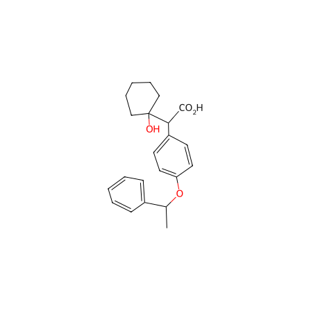 CC(Oc1ccc(C(C(=O)O)C2(O)CCCCC2)cc1)c1ccccc1